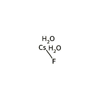 O.O.[F][Cs]